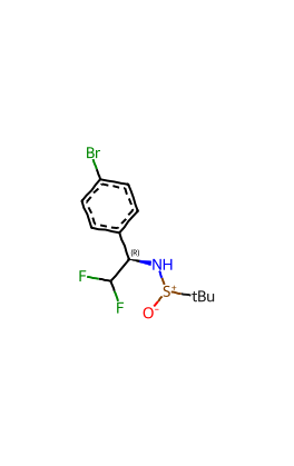 CC(C)(C)[S+]([O-])N[C@H](c1ccc(Br)cc1)C(F)F